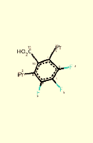 CC(C)c1c(F)c(F)c(F)c(C(C)C)c1C(=O)O